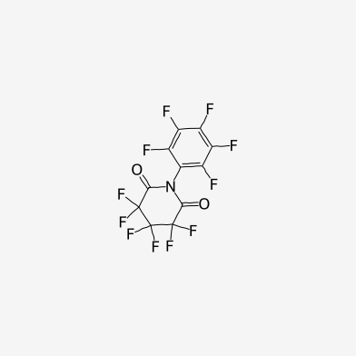 O=C1N(c2c(F)c(F)c(F)c(F)c2F)C(=O)C(F)(F)C(F)(F)C1(F)F